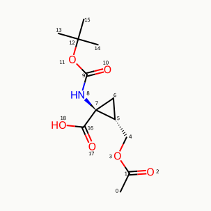 CC(=O)OC[C@H]1C[C@@]1(NC(=O)OC(C)(C)C)C(=O)O